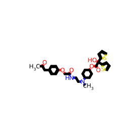 CC(=O)Cc1ccc(OCC(=O)NCCN(C)C2CCC(OC(=O)C(O)(c3cccs3)c3cccs3)CC2)cc1